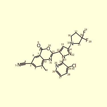 Cc1cc(C#N)cc2c(=O)oc(-c3cc(N4CCC(F)(F)C4)nn3-c3ncccc3Cl)nc12